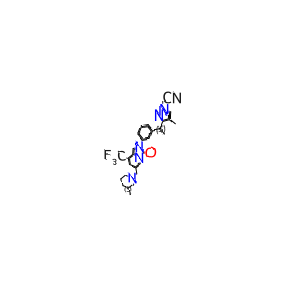 Cc1cn(CC#N)nc1[C@@H](C)c1cccc(-n2cc3c(C(F)(F)F)cc(CN4CCC[C@H](C)C4)cn3c2=O)c1